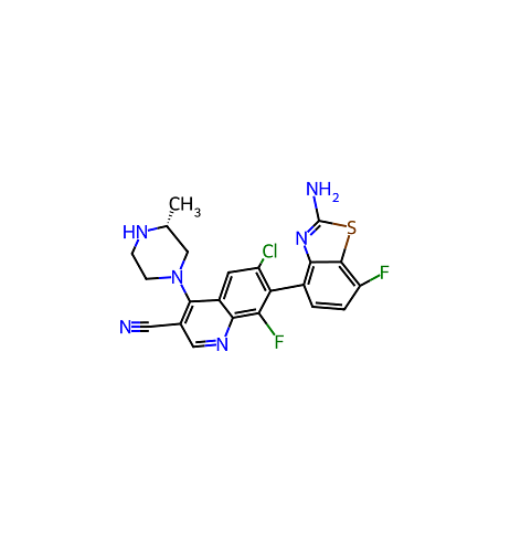 C[C@@H]1CN(c2c(C#N)cnc3c(F)c(-c4ccc(F)c5sc(N)nc45)c(Cl)cc23)CCN1